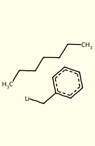 CCCCCCC.[Li][CH2]c1ccccc1